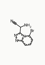 N#CC(N)c1nnc2cccc(Br)n12